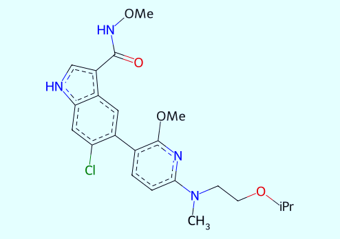 CONC(=O)c1c[nH]c2cc(Cl)c(-c3ccc(N(C)CCOC(C)C)nc3OC)cc12